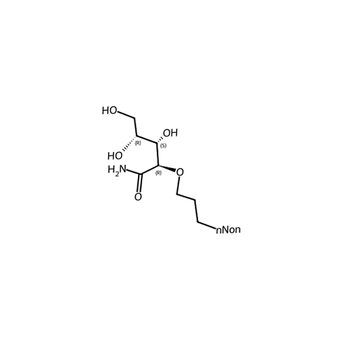 CCCCCCCCCCCCO[C@@H](C(N)=O)[C@@H](O)[C@H](O)CO